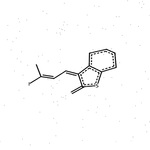 C=c1sc2ccccc2/c1=C/C=C(\C)I